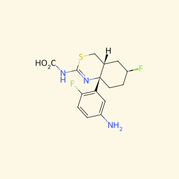 Nc1ccc(F)c([C@]23CC[C@H](F)C[C@H]2CSC(NC(=O)O)=N3)c1